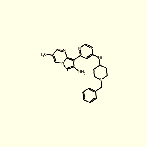 Cc1cnc2c(-c3cc(NC4CCN(Cc5ccccc5)CC4)ncn3)c(N)nn2c1